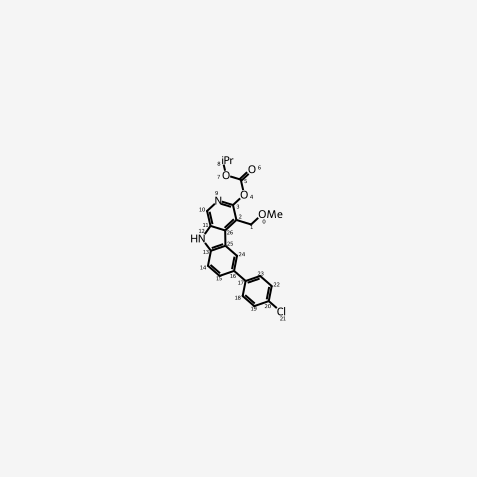 COCc1c(OC(=O)OC(C)C)ncc2[nH]c3ccc(-c4ccc(Cl)cc4)cc3c12